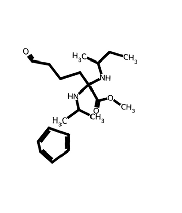 CCC(C)NC(CCCC=O)(NC(C)C)C(=O)OC.c1ccccc1